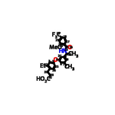 CCc1cc(Oc2cc(C)cc(C(C)NC(=O)c3ccc(C(F)(F)F)cc3OC)c2)ccc1CCC(=O)O